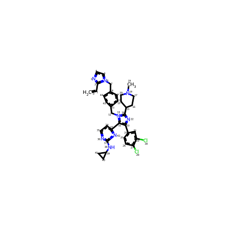 C=Cc1nccn1Cc1ccc(Cn2c(C3CCN(C)CC3)nc(-c3ccc(Cl)c(Cl)c3)c2-c2ccnc(NC3CC3)n2)cc1